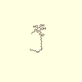 CCCCC/C=C\C/C=C\CCCCCCCC(=O)OC[C@H]1OC(OCCC)[C@H](O)[C@@H](O)[C@@H]1O